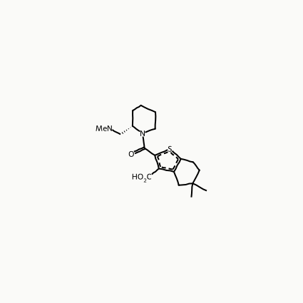 CNC[C@@H]1CCCCN1C(=O)c1sc2c(c1C(=O)O)CC(C)(C)CC2